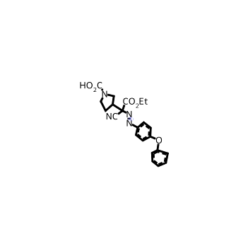 CCOC(=O)C(C#N)(/N=N/c1ccc(Oc2ccccc2)cc1)C1CCN(C(=O)O)C1